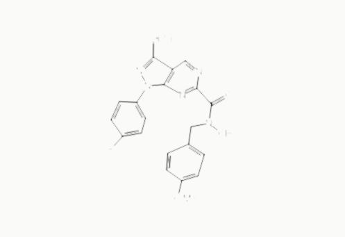 COc1ccc(CN(C)C(=O)c2ncc3c(OCC(C)C)nn(-c4ccc(F)cc4)c3n2)cc1